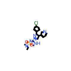 CCN(C)S(=O)(=O)/N=C(\NC)N1CC(c2cccnc2)C(c2ccc(Cl)cc2)=N1